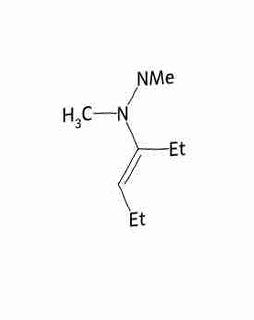 CC/C=C(\CC)N(C)NC